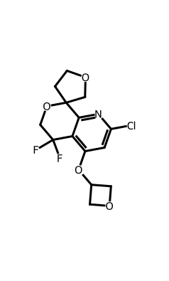 FC1(F)COC2(CCOC2)c2nc(Cl)cc(OC3COC3)c21